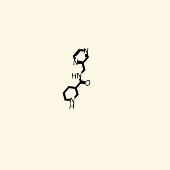 O=C(NCc1cnccn1)C1CCCNC1